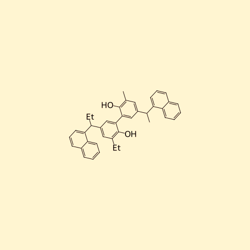 CCc1cc(C(CC)c2cccc3ccccc23)cc(-c2cc(C(C)c3cccc4ccccc34)cc(C)c2O)c1O